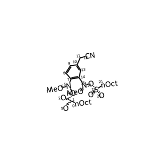 CCCCCCCCS(=O)(=O)ON(OC)c1ccc(CC#N)cc1N(OC)OS(=O)(=O)CCCCCCCC